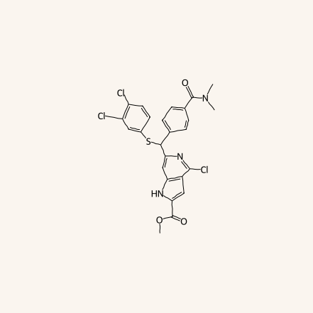 COC(=O)c1cc2c(Cl)nc(C(Sc3ccc(Cl)c(Cl)c3)c3ccc(C(=O)N(C)C)cc3)cc2[nH]1